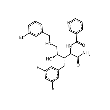 CCc1cccc(CNC[C@H](O)[C@@H](Cc2cc(F)cc(F)c2)C(NC(=O)c2cccnc2)C(N)=O)c1